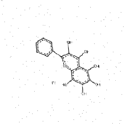 Oc1c(O)c(O)c2c(O)c(O)c(-c3ccccc3)[o+]c2c1O.[Cl-]